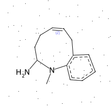 CN1c2ccccc2C/C=C\CCC1N